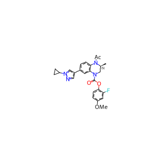 COc1ccc(OC(=O)N2C[C@H](C)N(C(C)=O)c3ccc(-c4cnn(C5CC5)c4)cc32)c(F)c1